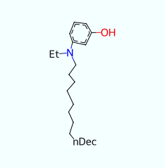 CCCCCCCCCCCCCCCCCCN(CC)c1cccc(O)c1